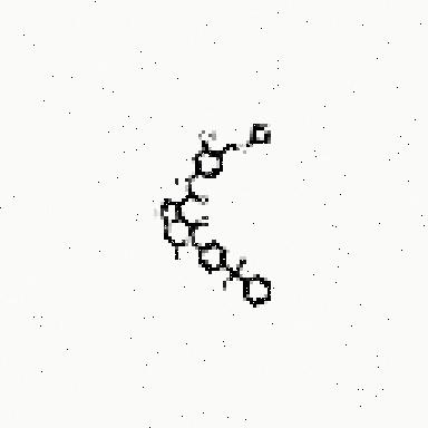 C[C@H]1Cn2ncc(C(=O)Nc3ccc(COC4COC4)c(C#N)c3)c2C(=O)N1c1ccc(C(F)(F)c2ccccc2)cc1